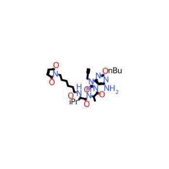 C#CCn1c(=O)n(C(=O)C(C)NC(=O)C(NC(=O)CCCCCN2C(=O)C=CC2=O)C(C)C)c2c(N)nc(OCCCC)nc21